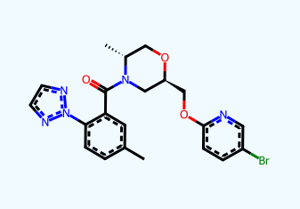 Cc1ccc(-n2nccn2)c(C(=O)N2C[C@H](COc3ccc(Br)cn3)OC[C@H]2C)c1